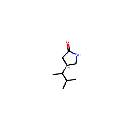 CC(C)C(C)[C@@H]1CNC(=O)C1